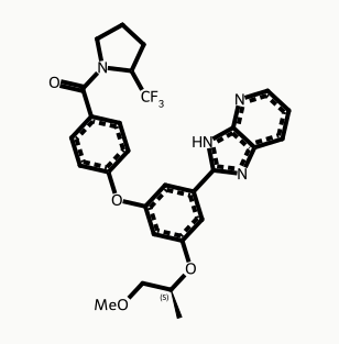 COC[C@H](C)Oc1cc(Oc2ccc(C(=O)N3CCCC3C(F)(F)F)cc2)cc(-c2nc3cccnc3[nH]2)c1